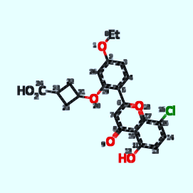 CCOc1ccc(-c2cc(=O)c3c(O)ccc(Cl)c3o2)c(OC2CC(C(=O)O)C2)c1